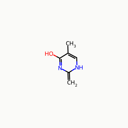 C=C1N=C(O)C(C)=CN1